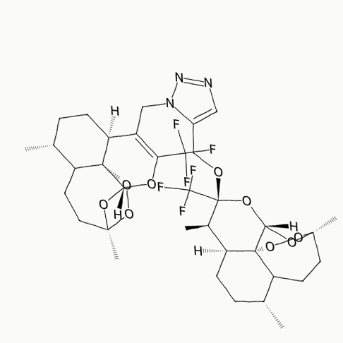 C[C@@H]1CC[C@H]2C(Cn3nncc3CO[C@@]3(C(F)(F)F)O[C@@H]4O[C@]5(C)CCC6[C@H](C)CC[C@@H]([C@H]3C)[C@]64OO5)=C(C(F)(F)F)O[C@@H]3O[C@]4(C)CCC1[C@]32OO4